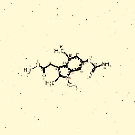 COC(=O)Cc1c(C)n(C)c2cc(OC(N)=S)cc(C)c12